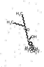 CCCCCCCCC(CCCCCCCC)COC(=O)CCCCCN(CCO)Cc1ccc(O[Si](C)(C)C(C)(C)C)cc1